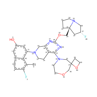 CCc1c(F)ccc2cc(O)cc(N3CCc4c(nc(OC[C@@]56CCCN5C[C@H](F)C6)nc4N4CCOCC5(CCO5)C4)C3)c12